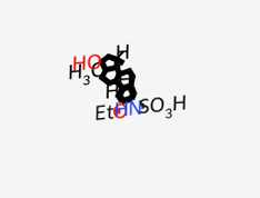 CCOc1cc2c(cc1NS(=O)(=O)O)CC[C@@H]1[C@@H]2CC[C@]2(C)[C@@H](O)C[C@@H]3C[C@]312